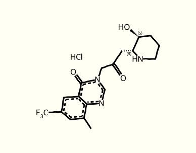 Cc1cc(C(F)(F)F)cc2c(=O)n(CC(=O)C[C@H]3NCCC[C@@H]3O)cnc12.Cl